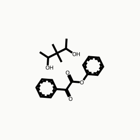 CC(O)C(C)(C)C(C)O.O=C(Oc1ccccc1)C(=O)c1ccccc1